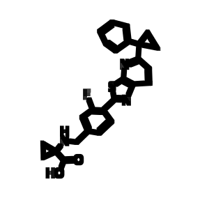 O=C(O)C1(NCc2ccc(-c3nc4ccc(C5(c6ccccc6)CC5)nc4s3)c(F)c2)CC1